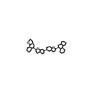 c1ccc2c(c1)cc(-c1ccc3cc(-c4ccc5ccc(-c6cc7cccnc7c7ccccc67)nc5c4)ccc3n1)c1ccccc12